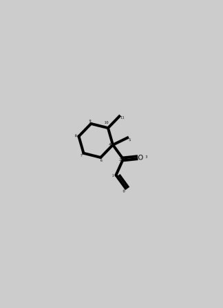 C=CC(=O)C1(C)CCCCC1C